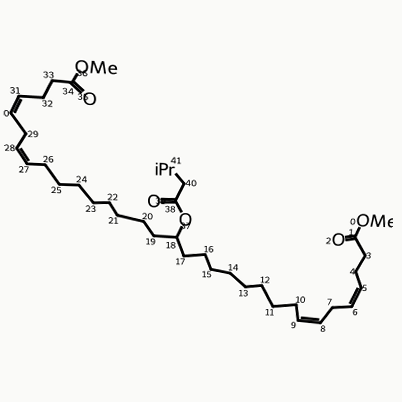 COC(=O)CC/C=C\C/C=C\CCCCCCCCC(CCCCCCCC/C=C\C/C=C\CCC(=O)OC)OC(=O)CC(C)C